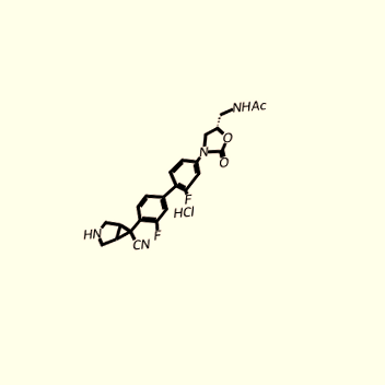 CC(=O)NC[C@H]1CN(c2ccc(-c3ccc(C4(C#N)C5CNCC54)c(F)c3)c(F)c2)C(=O)O1.Cl